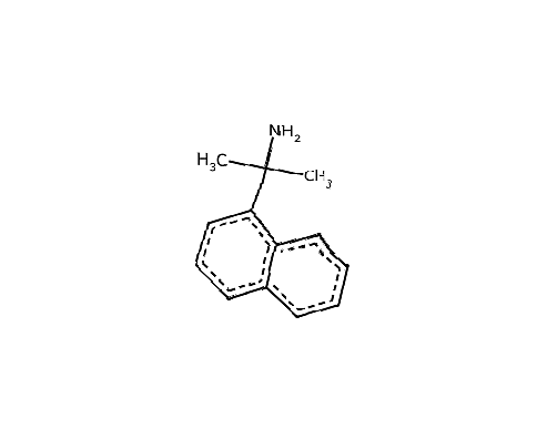 CC(C)(N)c1cccc2ccccc12